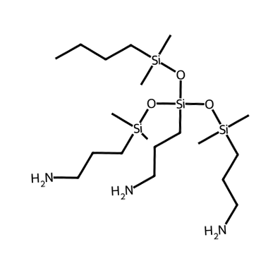 CCCC[Si](C)(C)O[Si](CCCN)(O[Si](C)(C)CCCN)O[Si](C)(C)CCCN